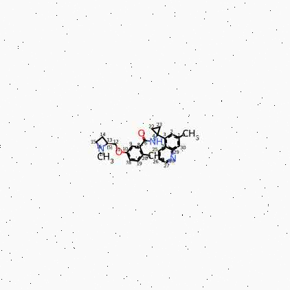 Cc1cc(C2(NC(=O)c3cc(OC[C@@H]4CCN4C)ccc3C)CC2)c2cccnc2c1